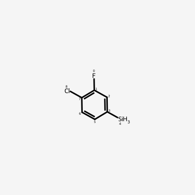 Fc1cc([SiH3])ccc1Cl